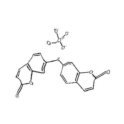 O=c1ccc2ccc([I+]c3ccc4ccc(=O)oc4c3)cc2o1.[O-][Cl+3]([O-])([O-])[O-]